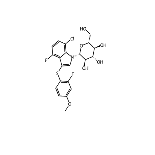 COc1ccc(Sc2cn([C@@H]3O[C@H](CO)[C@@H](O)[C@H](O)[C@H]3O)c3c(Cl)ccc(F)c23)c(F)c1